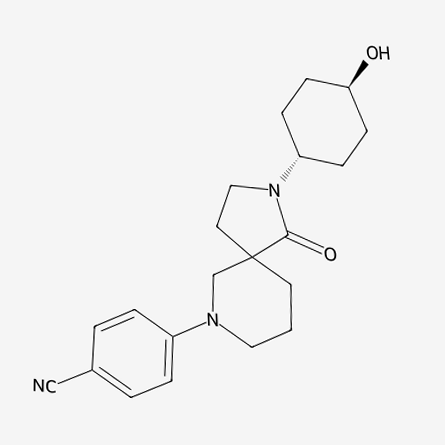 N#Cc1ccc(N2CCCC3(CCN([C@H]4CC[C@H](O)CC4)C3=O)C2)cc1